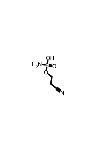 N#CCCOP(N)(=O)O